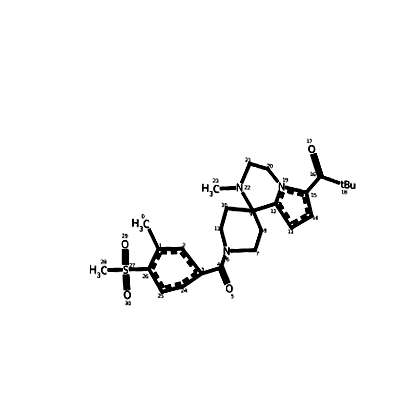 Cc1cc(C(=O)N2CCC3(CC2)c2ccc(C(=O)C(C)(C)C)n2CCN3C)ccc1S(C)(=O)=O